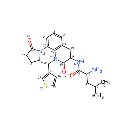 CC(C)CC(N)C(=O)NC1Cc2cccc(N3CCCC3=O)c2N(Cc2ccsc2)C1=O